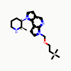 C[C@H]1NCCC[C@H]1n1ccc2cnc3c(ccn3COCC[Si](C)(C)C)c21